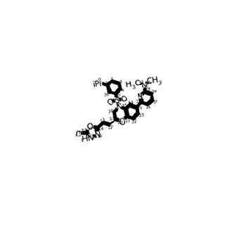 CC(C)c1cccc(S(=O)(=O)N2C[C@H](CCc3n[nH]c(=O)o3)Oc3ccc(-c4cccc(N(C)C)n4)cc32)c1